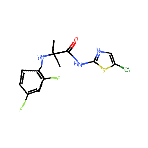 CC(C)(Nc1ccc(F)cc1F)C(=O)Nc1ncc(Cl)s1